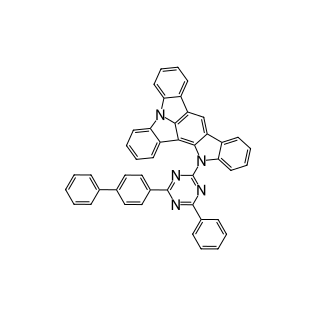 c1ccc(-c2ccc(-c3nc(-c4ccccc4)nc(-n4c5ccccc5c5cc6c7ccccc7n7c8ccccc8c(c54)c67)n3)cc2)cc1